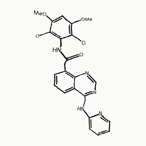 COc1cc(OC)c(Cl)c(NC(=O)c2cccc3c(Nc4ccccn4)ncnc23)c1Cl